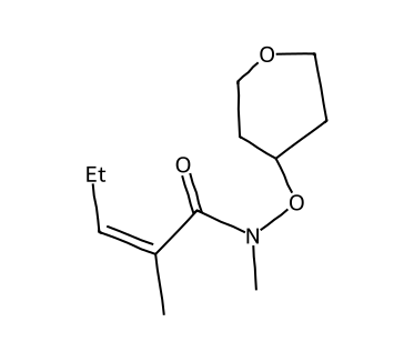 CC/C=C(/C)C(=O)N(C)OC1CCOCC1